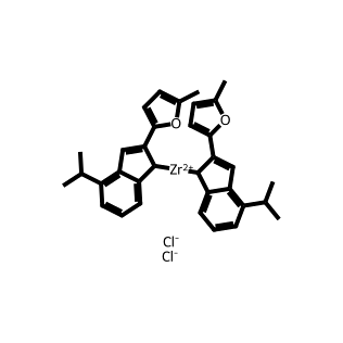 Cc1ccc(C2=Cc3c(C(C)C)cccc3[CH]2[Zr+2][CH]2C(c3ccc(C)o3)=Cc3c(C(C)C)cccc32)o1.[Cl-].[Cl-]